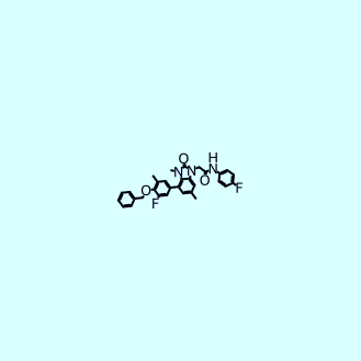 Cc1cc(-c2cc(C)c(OCc3ccccc3)c(F)c2)c2c(c1)n(CC(=O)Nc1ccc(F)cc1)c(=O)n2C